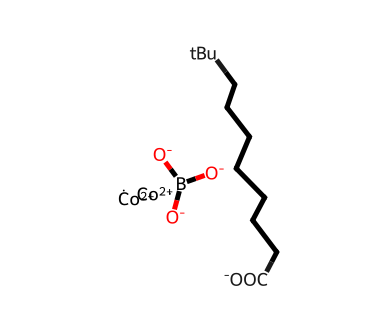 CC(C)(C)CCCCCCCC(=O)[O-].[Co+2].[Co+2].[O-]B([O-])[O-]